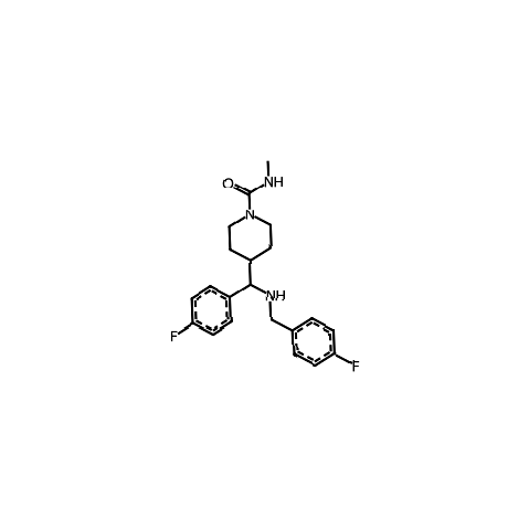 CNC(=O)N1CCC(C(NCc2ccc(F)cc2)c2ccc(F)cc2)CC1